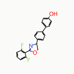 Oc1ccc(-c2ccc(C3COC(c4c(F)cccc4F)=N3)cc2)cc1